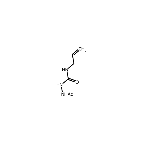 C=CCNC(=O)NNC(C)=O